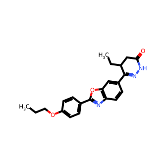 CCCOc1ccc(-c2nc3ccc(C4=NNC(=O)CC4CC)cc3o2)cc1